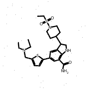 CCN(CC)Cc1ccc(-c2cc(C(N)=O)c3c(c2)C(C2CCN(S(=O)(=O)CC)CC2)CN3)s1